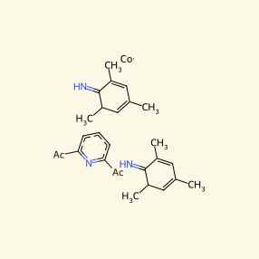 CC(=O)c1cccc(C(C)=O)n1.CC1=CC(C)C(=N)C(C)=C1.CC1=CC(C)C(=N)C(C)=C1.[Co]